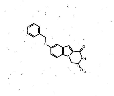 C[C@H]1Cn2c(cc3cc(OCc4ccccc4)ccc32)C(=O)N1